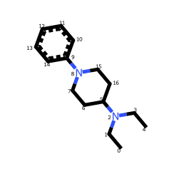 CCN(CC)C1CCN(c2ccccc2)CC1